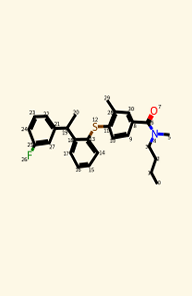 CCCCN(C)C(=O)c1ccc(Sc2ccccc2C(C)c2cccc(F)c2)c(C)c1